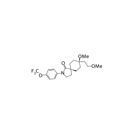 COCC[C@]1(OC)CC[C@]2(CCN(c3ccc(OC(F)(F)F)cc3)C2=O)CC1